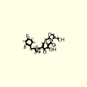 C#C[C@@H]1COC2Cn3cc(-c4ncc(Cc5ccc(F)cc5F)s4)c(=O)c(O)c3C(=O)N21